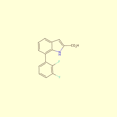 O=C(O)c1cc2cccc(-c3cccc(F)c3F)c2[nH]1